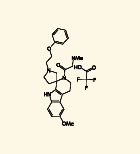 CNCC(=O)N1CCc2c([nH]c3ccc(OC)cc23)C12CCN(CCOc1ccccc1)C2.O=C(O)C(F)(F)F